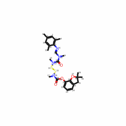 Cc1cc(C)c(N=CN(C)C(=O)N(C)SSN(C)C(=O)Oc2cccc3c2OC(C)(C)C3)c(C)c1